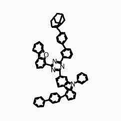 c1ccc(-c2ccc(-c3cccc4c3c3ccc(-c5nc(-c6cccc(-c7ccc(C8C9CC%10CC(C9)CC8C%10)cc7)c6)nc(-c6cccc7c6oc6ccccc67)n5)cc3n4-c3ccccc3)cc2)cc1